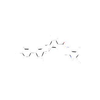 Cc1cc(N)nc(C)c1CNC(=O)c1cc(F)c2c(c1)C1OC2c2cc(-c3ccc(F)cc3)cc(C)c21